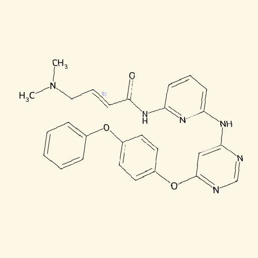 CN(C)C/C=C/C(=O)Nc1cccc(Nc2cc(Oc3ccc(Oc4ccccc4)cc3)ncn2)n1